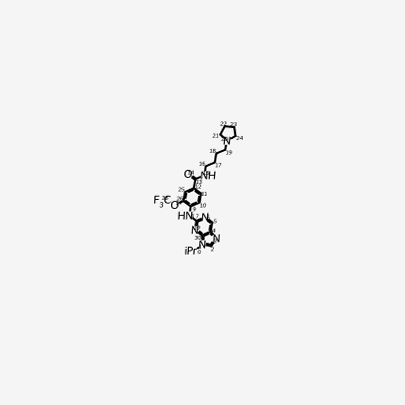 CC(C)n1cnc2cnc(Nc3ccc(C(=O)NCCCCN4CCCC4)cc3OC(F)(F)F)nc21